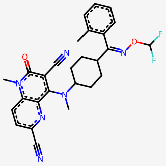 Cc1ccccc1/C(=N\OC(F)F)C1CCC(N(C)c2c(C#N)c(=O)n(C)c3ccc(C#N)nc23)CC1